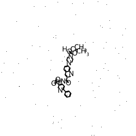 CC(C)(C)OC(=O)N1CCN(c2ccc3cc(C(=O)Nc4cc(-c5ccccc5)ncc4[N+](=O)[O-])cnc3c2)CC1